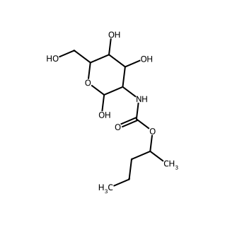 CCCC(C)OC(=O)NC1C(O)OC(CO)C(O)C1O